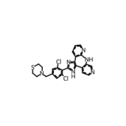 Clc1cc(CN2CCSCC2)cc(Cl)c1-c1nc2c([nH]1)-c1ccncc1Nc1ncccc1-2